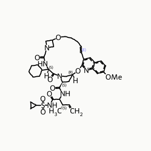 C=C[C@H](C)C(NC(=O)[C@@H]1C[C@@H]2CN1C(=O)[C@H](C1CCCCC1)NC(=O)N1CC(C1)OCCC/C=C/c1cc3ccc(OC)cc3nc1O2)C(=O)NS(=O)(=O)C1CC1